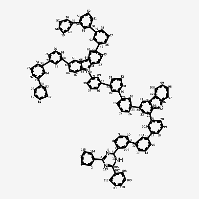 c1ccc(C2=NC(c3cccc(-c4cccc(-c5cccc(-c6cc(-c7cccc(-c8cccc(-c9cccc(-n%10c%11ccc(-c%12cccc(-c%13cccc(-c%14ccccc%14)c%13)c%12)cc%11c%11cc(-c%12cccc(-c%13cccc(-c%14ccccc%14)c%13)c%12)ccc%11%10)c9)c8)c7)cc7c6oc6ccccc67)c5)c4)c3)NC(c3ccccc3)=N2)cc1